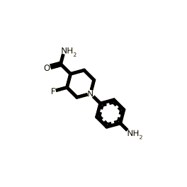 NC(=O)C1CCN(c2ccc(N)cc2)CC1F